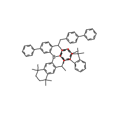 Cc1cc(C)c2c(c1)C(Cc1ccc(-c3ccccc3)cc1)c1ccc(-c3ccccc3)cc1B2c1cc2c(cc1C(C)c1cccc3c1-c1ccccc1C3(C)C)C(C)(C)CCC2(C)C